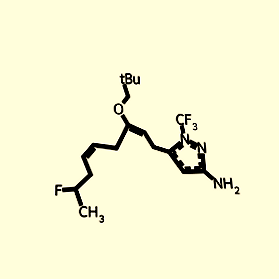 CC(F)C/C=C\C/C(=C\Cc1cc(N)nn1C(F)(F)F)OCC(C)(C)C